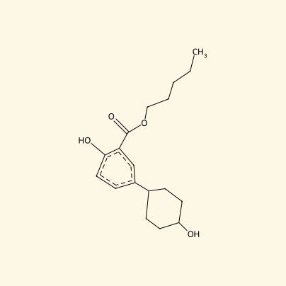 CCCCCOC(=O)c1cc(C2CCC(O)CC2)ccc1O